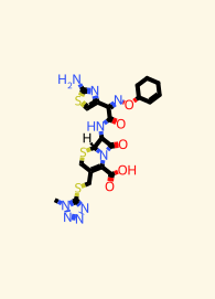 Cn1nnnc1SCC1=C(C(=O)O)N2C(=O)C(NC(=O)/C(=N\OC3C=CCCC3)c3csc(N)n3)[C@H]2SC1